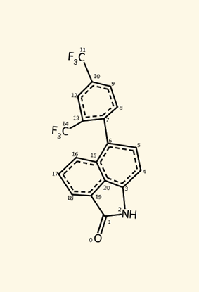 O=C1Nc2ccc(-c3ccc(C(F)(F)F)cc3C(F)(F)F)c3cccc1c23